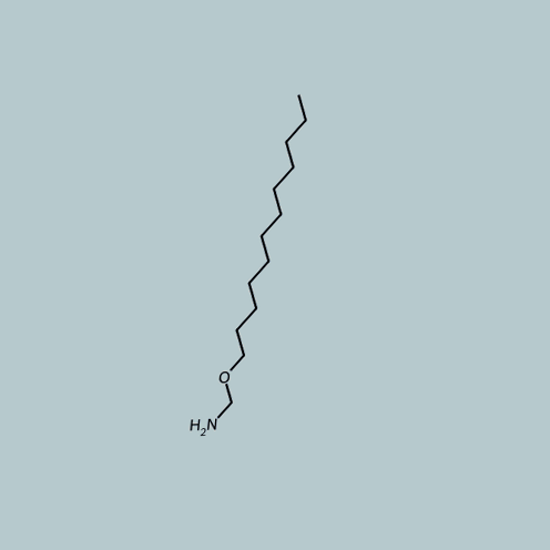 CCCCCCCCCCCCOCN